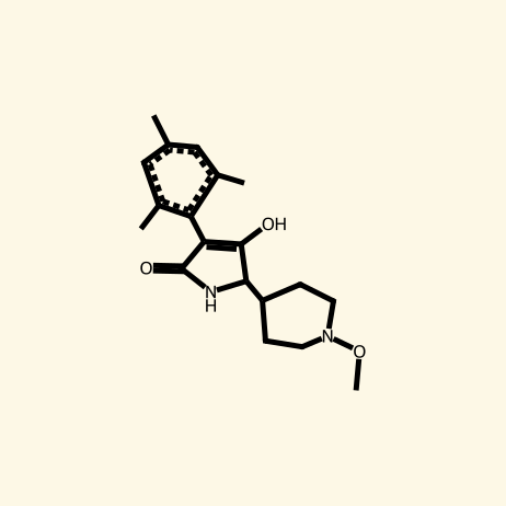 CON1CCC(C2NC(=O)C(c3c(C)cc(C)cc3C)=C2O)CC1